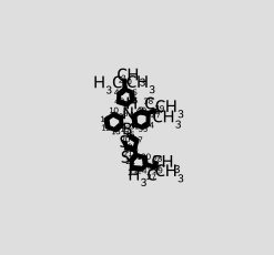 CC(C)(C)c1ccc(N2c3ccccc3B(c3cc4c(s3)sc3ccc(C(C)(C)C)cc34)c3ccc(C(C)(C)C)cc32)cc1